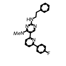 CNc1nc(NCCc2ccccc2)ncc1-c1cccc(-c2ccc(F)cc2)n1